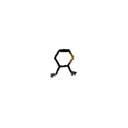 CC(C)C1CC=CSC1C(C)C